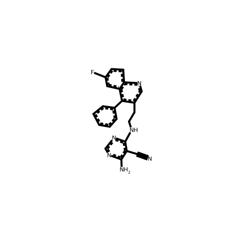 N#Cc1c(N)ncnc1NCCc1cnc2ccc(F)cc2c1-c1ccccc1